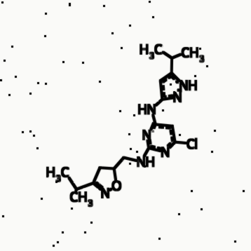 CC(C)C1=NOC(CNc2nc(Cl)cc(Nc3cc(C(C)C)[nH]n3)n2)C1